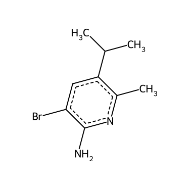 Cc1nc(N)c(Br)cc1C(C)C